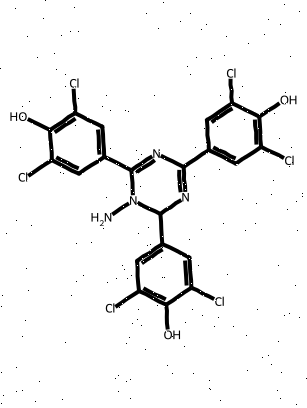 NN1C(c2cc(Cl)c(O)c(Cl)c2)=NC(c2cc(Cl)c(O)c(Cl)c2)=NC1c1cc(Cl)c(O)c(Cl)c1